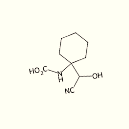 N#CC(O)C1(NC(=O)O)CCCCC1